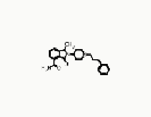 CC1c2cccc(C(N)=O)c2C(=O)N1C1CCN(CCCc2ccccc2)CC1